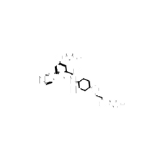 COCCOC1CCC(NC(=O)c2cc(OC)cc(-n3ccnc3)n2)CC1